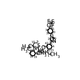 CCC(NC(=O)/N=C1\SCCC(C)N1c1c(C)cccc1C)c1ccc(-c2cn(-c3ccc(OC(F)(F)F)cc3)cn2)cc1